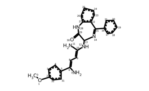 COc1ccc(/C(N)=C/C=C(\N)NC2N=C(c3ccccc3)c3ccccc3NC2=O)cc1